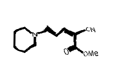 COC(=O)/C(C#N)=C\C=C\N1CCCCC1